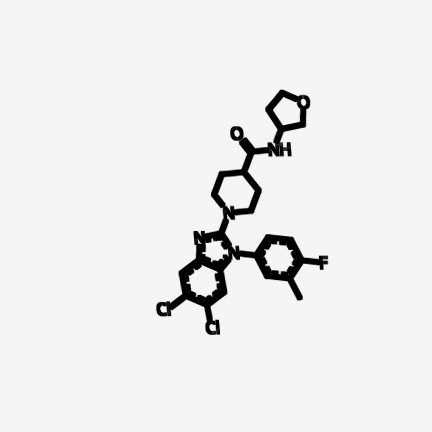 Cc1cc(-n2c(N3CCC(C(=O)NC4CCOC4)CC3)nc3cc(Cl)c(Cl)cc32)ccc1F